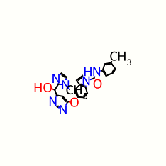 Cc1cccc(NC(=O)n2ccc3cc(Oc4cc(C(O)c5nccn5C)ncn4)ccc32)c1